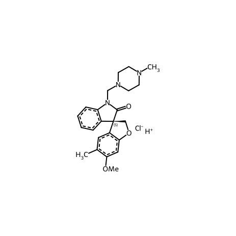 COc1cc2c(cc1C)[C@@]1(CO2)C(=O)N(CN2CCN(C)CC2)c2ccccc21.[Cl-].[H+]